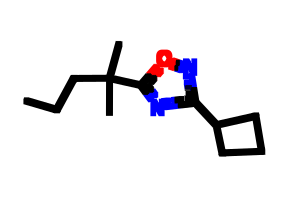 CCCC(C)(C)c1nc(C2CCC2)no1